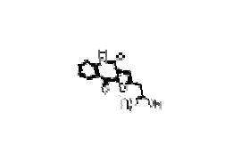 Cn1c(CC(=O)O)cc2c(=O)[nH]c3ccccc3c(=O)c21